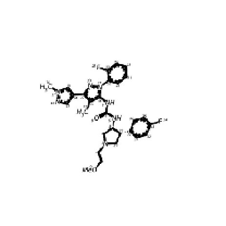 COCCN1C[C@@H](NC(=O)Nc2c(C)c(-c3cnn(C)c3)nn2-c2ccccc2F)[C@H](c2ccc(F)cc2)C1